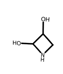 OC1CNC1O